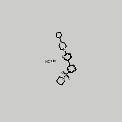 Cl.Cl.O=S(=O)(c1cccc(-c2ccc(N3CCN(C4CCCC4)CC3)nc2)c1)N1CCCCC1